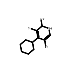 CCCC1NC=C(CC)C(C2CCCCC2)=C1CC